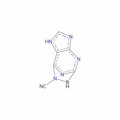 N#CN1Bc2nc1c1[nH]cnc1n2